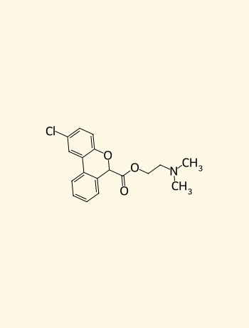 CN(C)CCOC(=O)C1Oc2ccc(Cl)cc2-c2ccccc21